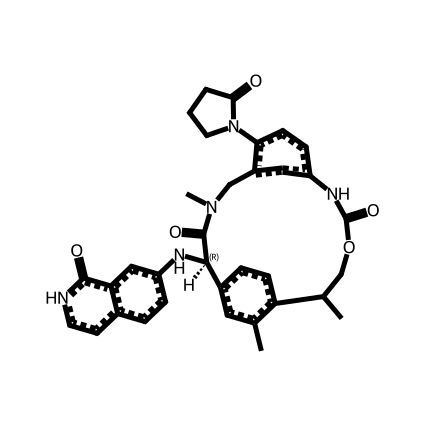 Cc1cc2ccc1C(C)COC(=O)Nc1ccc(N3CCCC3=O)c(c1)CN(C)C(=O)[C@@H]2Nc1ccc2cc[nH]c(=O)c2c1